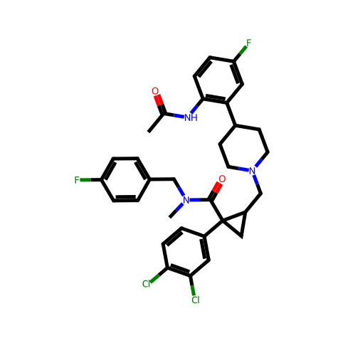 CC(=O)Nc1ccc(F)cc1C1CCN(CC2CC2(C(=O)N(C)Cc2ccc(F)cc2)c2ccc(Cl)c(Cl)c2)CC1